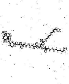 CC/C=C\CCCCCCCC(=O)OCC(COC(=O)CCCCCCC/C=C\CC)OC(=O)CCCCCCC(=O)OCO[C@@H]1CCC[C@@H](CC[C@@H]2[C@@H](CC)CC[C@]3(C)C(C(C)=O)CC[C@@H]23)C1